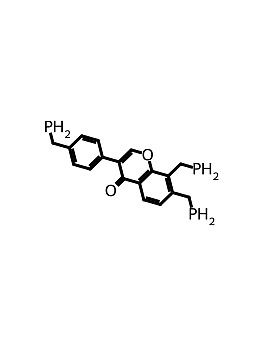 O=c1c(-c2ccc(CP)cc2)coc2c(CP)c(CP)ccc12